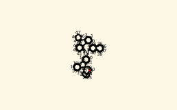 c1ccc2c(c1)-c1c(N(c3ccc4c(c3)-c3ccccc3C43C4CC5CC(C4)CC3C5)c3ccc4ccccc4c3)cccc1C21CCCC1